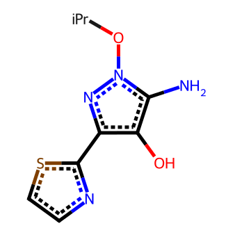 CC(C)On1nc(-c2nccs2)c(O)c1N